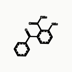 COC(=O)c1c(SC)cccc1C(=O)c1ccccc1